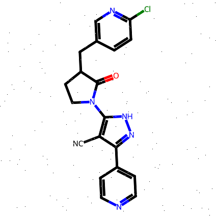 N#Cc1c(-c2ccncc2)n[nH]c1N1CCC(Cc2ccc(Cl)nc2)C1=O